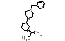 CC(C)N1CCCC(N2CCN(Cc3ccccc3)CC2)C1